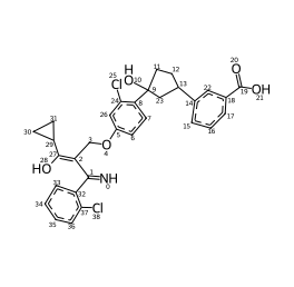 N=C(/C(COc1ccc(C2(O)CCC(c3cccc(C(=O)O)c3)C2)c(Cl)c1)=C(\O)C1CC1)c1ccccc1Cl